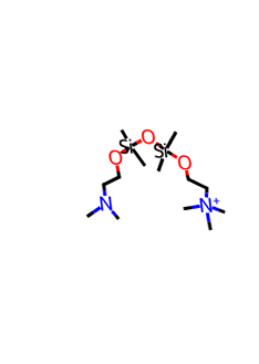 CN(C)CCO[Si](C)(C)O[Si](C)(C)OCC[N+](C)(C)C